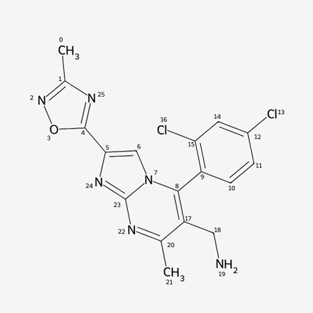 Cc1noc(-c2cn3c(-c4ccc(Cl)cc4Cl)c(CN)c(C)nc3n2)n1